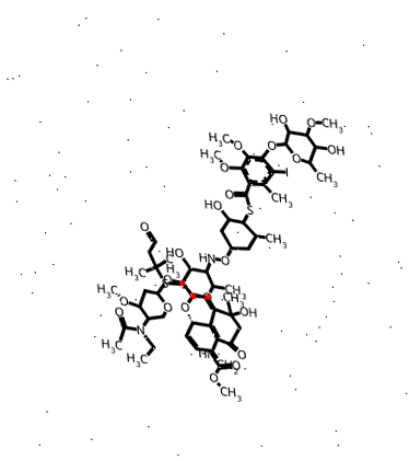 C=C/C=C\[C@H](OC1OC(C)C(NOC2CC(C)C(SC(=O)c3c(C)c(I)c(OC4OC(C)C(O)C(OC)C4O)c(OC)c3OC)C(O)C2)C(O)C1OC1CC(OC)C(N(CC)C(C)=O)CO1)C1=C(NC(=O)OC)C(=O)CC(C)(O)/C1=C/CSSC(C)(C)CC=O